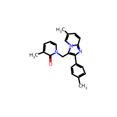 Cc1ccc(-c2nc3ccc(C)cn3c2Cn2cccc(C)c2=O)cc1